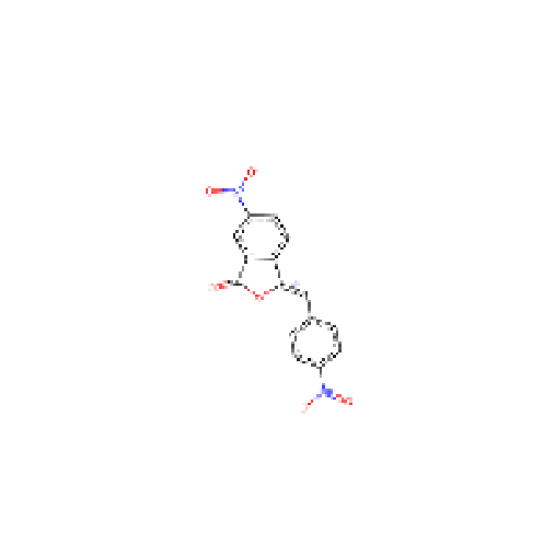 O=C1O/C(=C\c2ccc([N+](=O)[O-])cc2)c2ccc([N+](=O)[O-])cc21